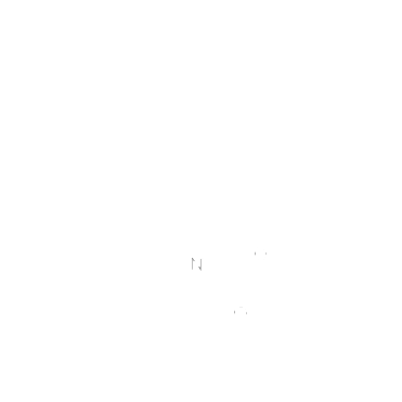 O=C1C=CCCN1C(=O)C=Cc1ccccc1